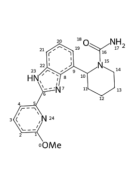 COc1cccc(-c2nc3c(C4CCCCN4C(N)=O)cccc3[nH]2)n1